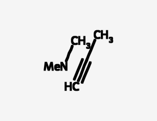 C#CC.CNC